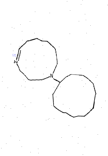 C1=N\CCCN(C2CCCCCCCCCC2)CCCCC/1